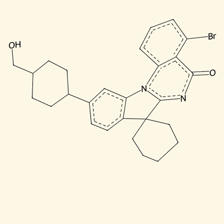 O=c1nc2n(c3cccc(Br)c13)-c1cc(C3CCC(CO)CC3)ccc1C21CCCCC1